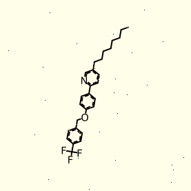 CCCCCCCCc1ccc(-c2ccc(OCc3ccc(C(F)(F)F)cc3)cc2)nc1